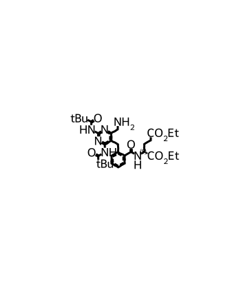 CCOC(=O)CC[C@H](NC(=O)c1ccccc1Cc1c(CN)nc(NC(=O)C(C)(C)C)nc1NC(=O)C(C)(C)C)C(=O)OCC